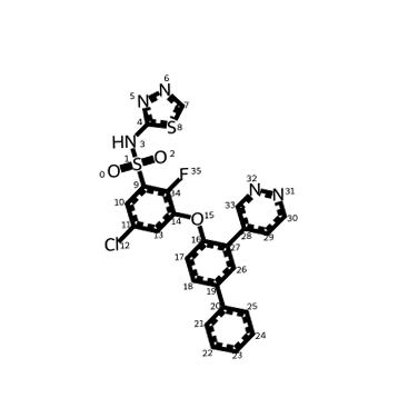 O=S(=O)(Nc1nncs1)c1cc(Cl)cc(Oc2ccc(-c3ccccc3)cc2-c2ccnnc2)c1F